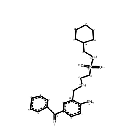 Nc1ccc(C(=O)c2ccccc2)cc1CNCCS(=O)(=O)NCC1CCCCC1